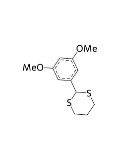 COc1cc(OC)cc(C2SCCCS2)c1